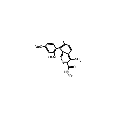 CCCNC(=O)c1nnc2c(-c3ccc(OC)cc3OC)c(F)ccc2c1N